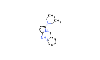 CCN(CC)c1ccc(N)n1Cc1ccccc1